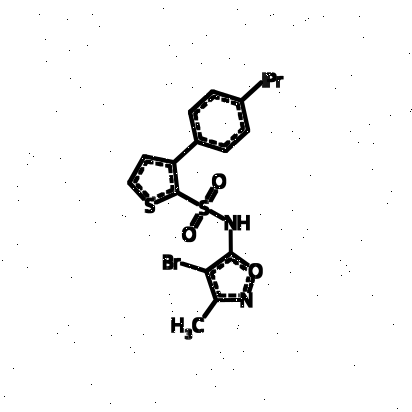 Cc1noc(NS(=O)(=O)c2sccc2-c2ccc(C(C)C)cc2)c1Br